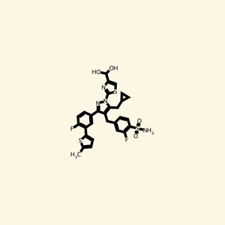 Cc1ccc(-c2cc(-c3nn(-c4nc(C(O)O)cs4)c(CC4CC4)c3Cc3ccc(S(N)(=O)=O)c(F)c3)ccc2F)s1